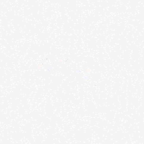 CNC(=O)c1cc(Oc2ccc(CNC(=O)Nc3ccc(F)cc3)cc2)ccn1